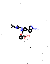 CC(C)CCN1CC(Cn2nc(COc3ccccc3CC(=O)O)c3cc(-c4cccc5c(N)nccc45)ccc32)C1